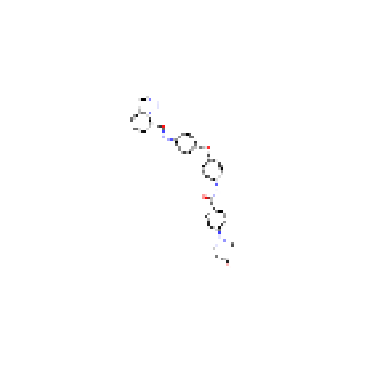 O=C(Nc1ccc(C(=O)c2ccc(NC(=O)c3cccc4[c]c[nH]c34)cc2)cc1)c1ccc(N2CCC(O)CC2)cc1